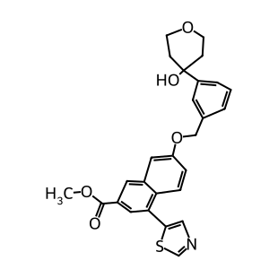 COC(=O)c1cc(-c2cncs2)c2ccc(OCc3cccc(C4(O)CCOCC4)c3)cc2c1